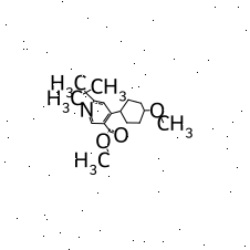 CCOC(=O)c1cnc(C(C)(C)C)cc1C1CCC(OC)CC1